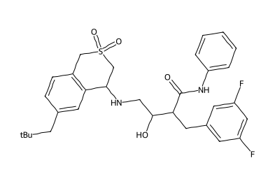 CC(C)(C)Cc1ccc2c(c1)C(NCC(O)C(Cc1cc(F)cc(F)c1)C(=O)Nc1ccccc1)CS(=O)(=O)C2